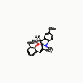 COc1ccc2c(c1)C(C)(C)[C@@]1(Oc3c(cccc3OC)C=C1[N+](=O)[O-])N2C